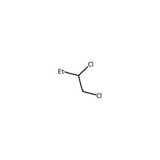 [CH2]CC(Cl)CCl